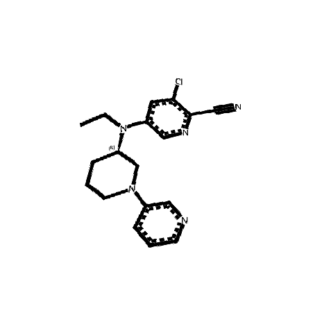 CCN(c1cnc(C#N)c(Cl)c1)[C@@H]1CCCN(c2cccnc2)C1